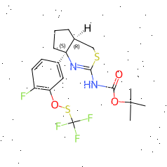 CC(C)(C)OC(=O)NC1=N[C@@]2(c3ccc(F)c(OSC(F)(F)F)c3)CCC[C@H]2CS1